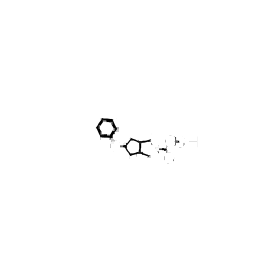 O=C(OO)N1CC2CC(Oc3ccccc3)CC2C1